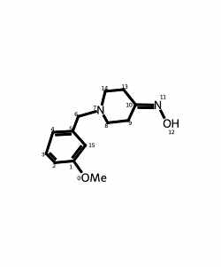 COc1cccc(CN2CCC(=NO)CC2)c1